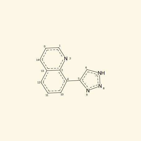 c1cnc2c(-c3c[nH]nn3)cccc2c1